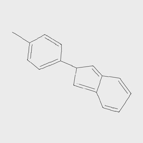 Cc1ccc(C2C=c3ccccc3=C2)cc1